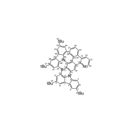 CC(C)(C)c1ccc2c(c1)c1cc(C(C)(C)C)cc3c1n2-c1cc2c4ncccc4c4ccccc4c2c2c1B3c1cc(C(C)(C)C)cc3c4cc(C(C)(C)C)ccc4n-2c13